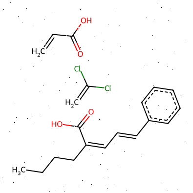 C=C(Cl)Cl.C=CC(=O)O.CCCCC(=CC=Cc1ccccc1)C(=O)O